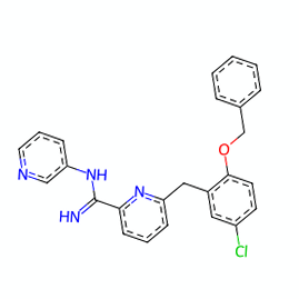 N=C(Nc1cccnc1)c1cccc(Cc2cc(Cl)ccc2OCc2ccccc2)n1